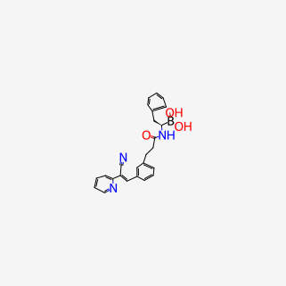 N#CC(=Cc1cccc(CCC(=O)N[C@@H](Cc2ccccc2)B(O)O)c1)c1ccccn1